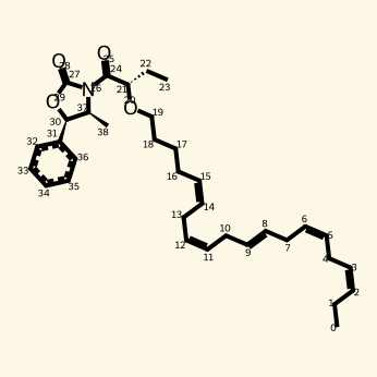 CC/C=C\C/C=C\CC=CC/C=C\C/C=C\CCCCO[C@@H](CC)C(=O)N1C(=O)O[C@H](c2ccccc2)[C@@H]1C